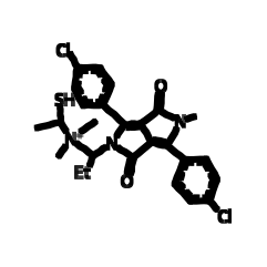 CCC(N1C(=O)C2=C(c3ccc(Cl)cc3)N(C)C(=O)C2=C1c1ccc(Cl)cc1)[N+](C)(C)C(C)S